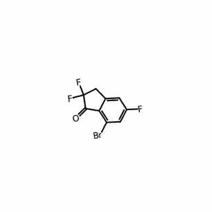 O=C1c2c(Br)cc(F)cc2CC1(F)F